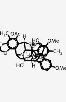 COc1ccc2oc3c(c2c1)CCN[C@]31S[C@@H]2c3c(OC(C)=O)c(C)c4c(c3C(COC1=O)N1[C@@H]2[C@@H]2c3c(cc(C)c(OC)c3O)C[C@@H]([C@@H]1O)N2C)OCO4